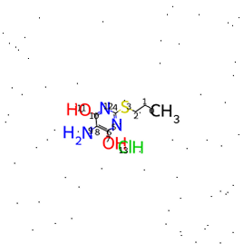 CCCSc1nc(O)c(N)c(O)n1.Cl